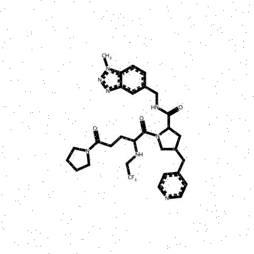 Cn1nnc2cc(CNC(=O)C3CC(Cc4ccncc4)CN3C(=O)C(CCC(=O)N3CCCC3)NCC(F)(F)F)ccc21